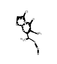 Bc1c(C(C)N=[N+]=[N-])nc2scc(Cl)n2c1=O